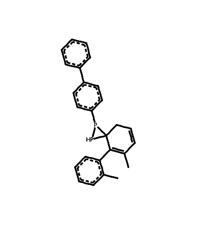 CC1=C(c2ccccc2C)C2(CC=C1)PP2c1ccc(-c2ccccc2)cc1